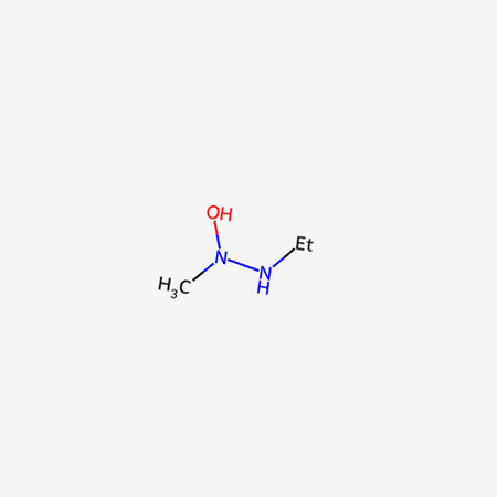 CCNN(C)O